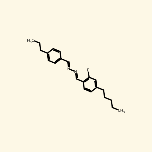 CCCCCc1ccc(C=NN=Cc2ccc(CCC)cc2)c(F)c1